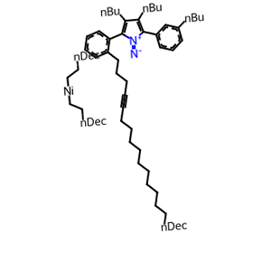 CCCCCCCCCCCCCCCCCCCCC#CCCCc1ccccc1C1=C(CCCC)C(CCCC)=C(c2cccc(CCCC)c2)[N+]1=[N-].CCCCCCCCCCC[CH2][Ni][CH2]CCCCCCCCCCC